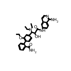 CCOc1cc(C(C(O)C(=O)Nc2ccc3c(N)nccc3c2)N(CC)CC)ccc1-c1ccccc1C(N)=O